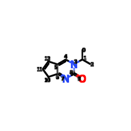 CC(C)n1cc2c(nc1=O)CC=C2